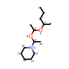 CCCC(C)OC(C)OC(C)N1CCCCC1